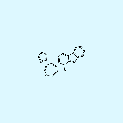 C1=CC=CNC=C1.O=C1C=CC=C2C1=Cc1ccccc12.c1ccsc1